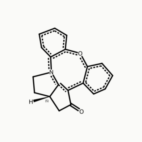 O=C1C[C@@H]2CCn3c2c1c1ccccc1oc1ccccc13